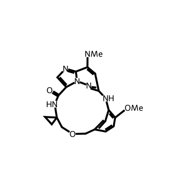 CNc1cc2nn3c(cnc13)C(=O)NC1(CC1)COCc1ccc(OC)c(c1)N2